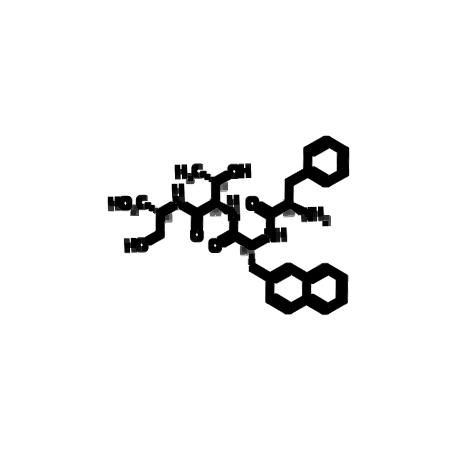 C[C@H](O)[C@@H](NC(=O)[C@@H](Cc1ccc2ccccc2c1)NC(=O)[C@H](N)Cc1ccccc1)C(=O)N[C@H](CO)C(=O)O